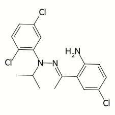 C/C(=N\N(c1cc(Cl)ccc1Cl)C(C)C)c1cc(Cl)ccc1N